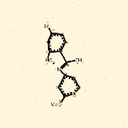 COc1cc(/N=C(\C)c2ccc(Br)cc2[N+](=O)[O-])ccn1